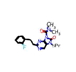 CCCn1c(=O)n(C(=O)N(C)C)c2nc(CCc3ccccc3F)ncc21